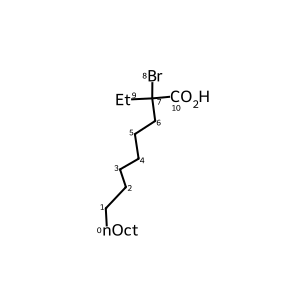 CCCCCCCCCCCCCCC(Br)(CC)C(=O)O